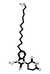 Cn1c(=O)n(C2CCC(=O)NC2=O)c2ccc(CCCCCCCCCCCCN)cc21